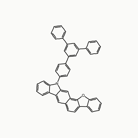 c1ccc(-c2cc(-c3ccccc3)cc(-c3ccc(-n4c5ccccc5c5cc6ccc7c8ccccc8oc7c6cc54)cc3)c2)cc1